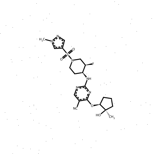 Cn1cc(S(=O)(=O)N2CC[C@H](Nc3ncc(C#N)c(O[C@H]4CCC[C@@]4(C)O)n3)[C@H](F)C2)cn1